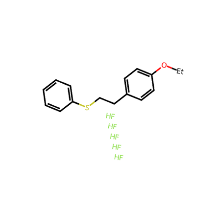 CCOc1ccc(CCSc2ccccc2)cc1.F.F.F.F.F